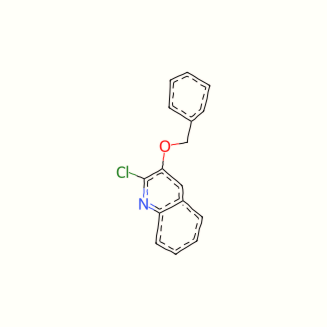 Clc1nc2ccccc2cc1OCc1ccccc1